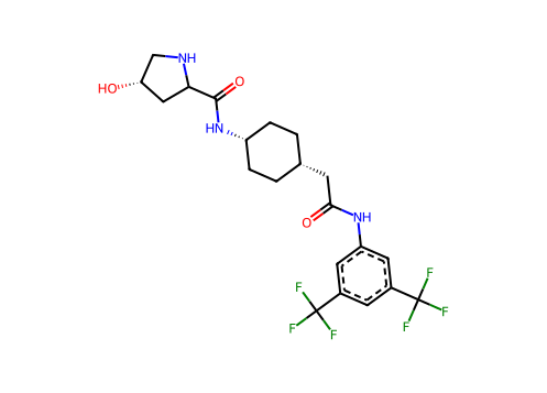 O=C(C[C@H]1CC[C@@H](NC(=O)C2C[C@H](O)CN2)CC1)Nc1cc(C(F)(F)F)cc(C(F)(F)F)c1